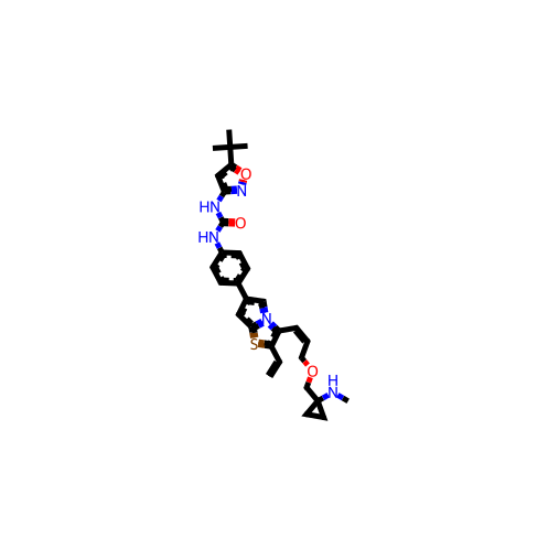 C=Cc1sc2cc(-c3ccc(NC(=O)Nc4cc(C(C)(C)C)on4)cc3)cn2c1/C=C\COCC1(NC)CC1